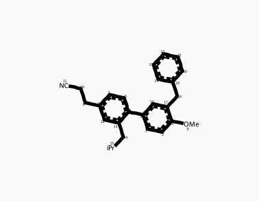 COc1ccc(-c2ccc(CCC#N)cc2CC(C)C)cc1Cc1ccccc1